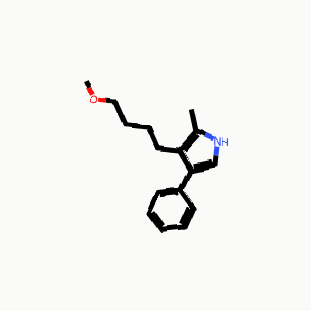 COCCCCc1c(-c2ccccc2)c[nH]c1C